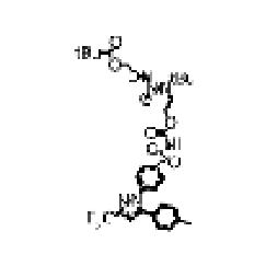 Cc1ccc(-c2cc(C(F)(F)F)nn2-c2ccc(S(=O)(=O)NC(=O)OCCN(/[N+]([O-])=N/OCOC(=O)C(C)(C)C)C(C)(C)C)cc2)cc1